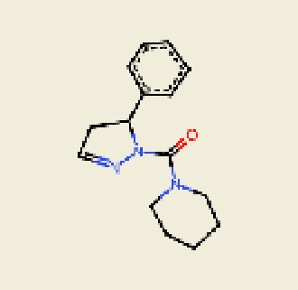 O=C(N1CCCCC1)N1N=CCC1c1ccccc1